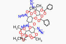 CC(=O)OC[C@@H](OC(C)=O)[C@H]1O[C@H](O[C@H]2[C@H](O[C@@H]3O[C@H]([C@H](C)N=[N+]=[N-])[C@H](OC(=O)c4ccccc4)[C@@H]3OC(=O)c3ccccc3)[C@@H](OC(C)=O)[C@H](N=[N+]=[N-])C[C@@H]2N=[N+]=[N-])[C@H](N=[N+]=[N-])[C@@H](OC(C)=O)[C@@H]1OC(C)=O